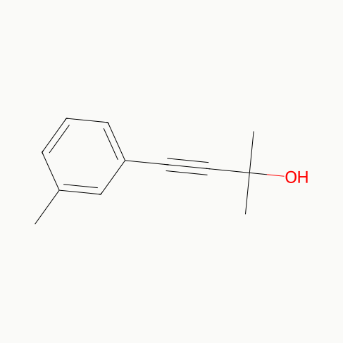 Cc1cccc(C#CC(C)(C)O)c1